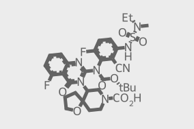 CCN(C)S(=O)(=O)Nc1ccc(F)c(N(C(=O)OC(C)(C)C)c2nc3cccc(F)c3c(=O)n2C2CN(C(=O)O)CCC23CCCO3)c1C#N